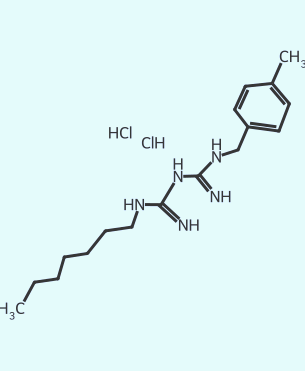 CCCCCCCNC(=N)NC(=N)NCc1ccc(C)cc1.Cl.Cl